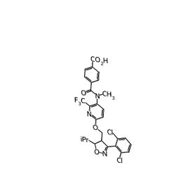 CC(C)C1ON=C(c2c(Cl)cccc2Cl)C1COc1ccc(N(C)C(=O)c2ccc(C(=O)O)cc2)c(C(F)(F)F)n1